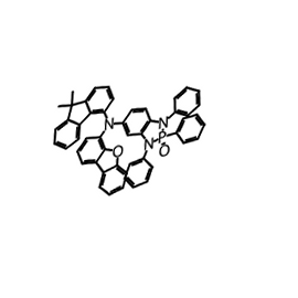 CC1(C)c2ccccc2-c2c(N(c3ccc4c(c3)N(c3ccccc3)P(=O)(c3ccccc3)N4c3ccccc3)c3cccc4c3oc3ccccc34)cccc21